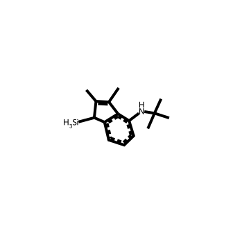 CC1=C(C)C([SiH3])c2cccc(NC(C)(C)C)c21